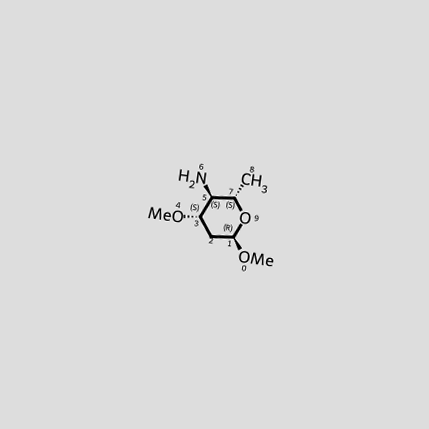 CO[C@H]1C[C@H](OC)[C@@H](N)[C@H](C)O1